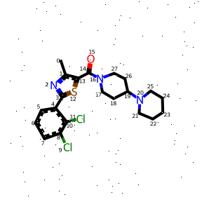 Cc1nc(-c2cccc(Cl)c2Cl)sc1C(=O)N1CCC(N2CCCCC2)CC1